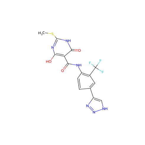 CSc1nc(O)c(C(=O)Nc2ccc(-c3c[nH]nn3)cc2C(F)(F)F)c(=O)[nH]1